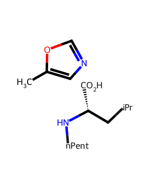 CCCCCN[C@@H](CC(C)C)C(=O)O.Cc1cnco1